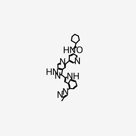 Cc1cn(-c2cccc3[nH]c(-c4n[nH]c5cnc(-c6cncc(NC(=O)C7CCCCC7)c6)cc45)cc23)cn1